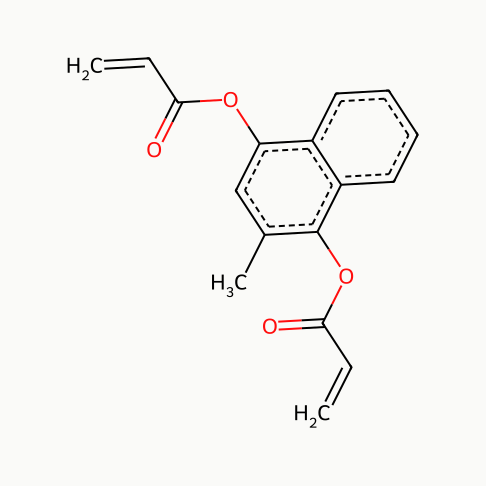 C=CC(=O)Oc1cc(C)c(OC(=O)C=C)c2ccccc12